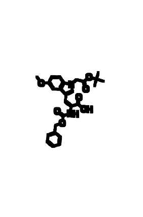 COc1ccc2c(c1)c(/C=C(/NC(=O)OCc1ccccc1)C(=O)O)cn2CC(=O)OC(C)(C)C